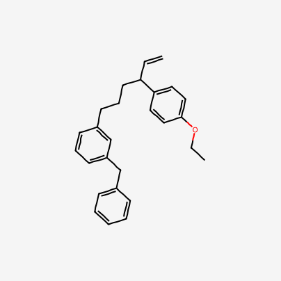 C=CC(CCCc1cccc(Cc2ccccc2)c1)c1ccc(OCC)cc1